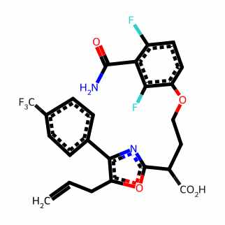 C=CCc1oc(C(CCOc2ccc(F)c(C(N)=O)c2F)C(=O)O)nc1-c1ccc(C(F)(F)F)cc1